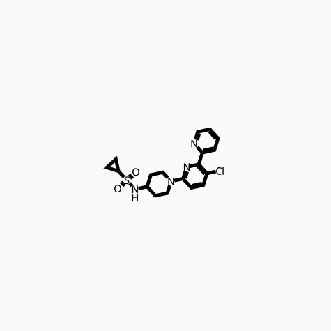 O=S(=O)(NC1CCN(c2ccc(Cl)c(-c3ccccn3)n2)CC1)C1CC1